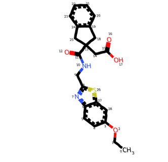 CCOc1ccc2nc(CNC(=O)C3(CC(=O)O)Cc4ccccc4C3)sc2c1